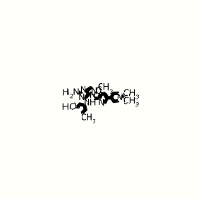 CCCC(CCO)Nc1nc(N)nc2cnn(Cc3ncc(C4CCN(C(C)C)CC4)cc3OC)c12